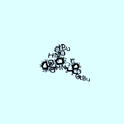 CC(C)(C)OC(=O)C=C(CCN[C@H]1CC[C@@H](NC(=O)OC(C)(C)C)C[C@H]1CS(=O)(=O)c1ccccc1)c1cccc(C(F)(F)F)c1